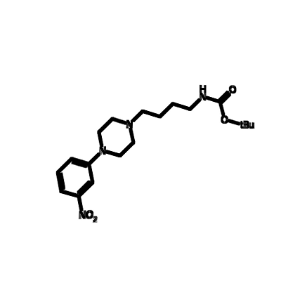 CC(C)(C)OC(=O)NCCCCN1CCN(c2cccc([N+](=O)[O-])c2)CC1